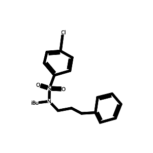 CCC(C)N(CCCc1ccccc1)S(=O)(=O)c1ccc(Cl)cc1